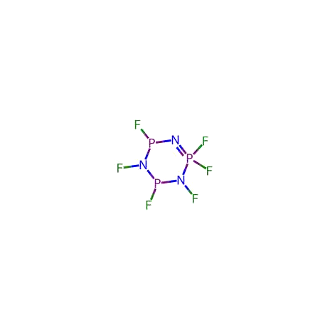 FN1P(F)N=P(F)(F)N(F)P1F